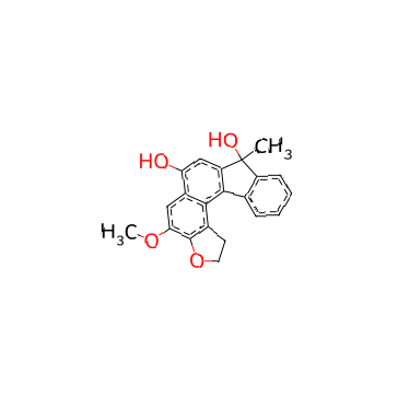 COc1cc2c(O)cc3c(c2c2c1OCC2)-c1ccccc1C3(C)O